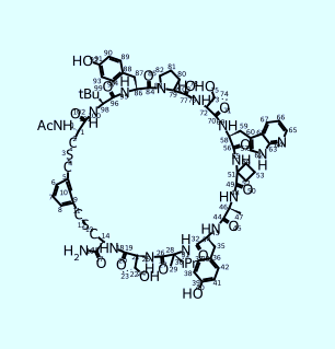 CC(=O)N[C@H]1CSCc2cccc(c2)CSC[C@H](C(N)=O)NC(=O)[C@H]([C@@H](C)O)NC(=O)[C@](C)(C(C)C)NC(=O)[C@H](Cc2ccc(O)cc2)NC(=O)[C@H](C)NC(=O)C2(CCC2)NC(=O)[C@H](Cc2c[nH]c3ncccc23)NC(=O)[C@H]([C@@H](C)O)NC(=O)[C@@H]2CCCN2C(=O)[C@H](Cc2ccc(O)cc2)NC(=O)[C@H](C(C)(C)C)NC1=O